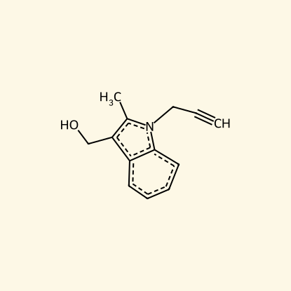 C#CCn1c(C)c(CO)c2ccccc21